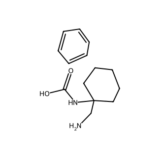 NCC1(NC(=O)O)CCCCC1.c1ccccc1